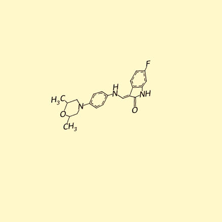 CC1CN(c2ccc(N/C=C3/C(=O)Nc4cc(F)ccc43)cc2)CC(C)O1